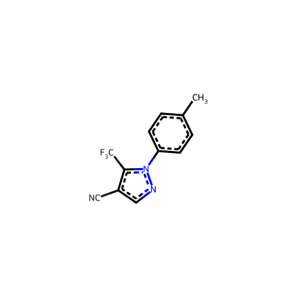 Cc1ccc(-n2ncc(C#N)c2C(F)(F)F)cc1